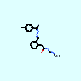 CON=CNC(=O)C=C1CC=CC=C1C=NN=C(C)c1ccc(C)cc1